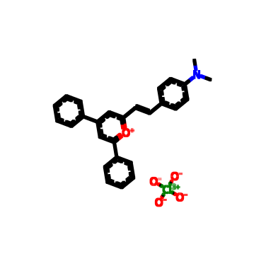 CN(C)c1ccc(C=Cc2cc(-c3ccccc3)cc(-c3ccccc3)[o+]2)cc1.[O-][Cl+3]([O-])([O-])[O-]